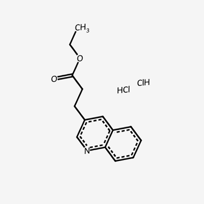 CCOC(=O)CCc1cnc2ccccc2c1.Cl.Cl